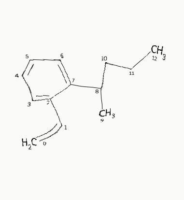 C=Cc1ccccc1C(C)CCC